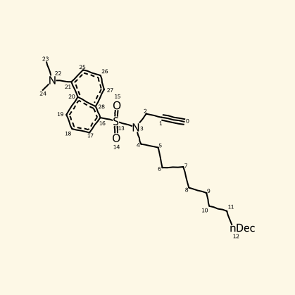 C#CCN(CCCCCCCCCCCCCCCCCC)S(=O)(=O)c1cccc2c(N(C)C)cccc12